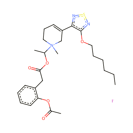 CCCCCCOc1nsnc1C1=CCC[N+](C)(C(C)OC(=O)Cc2ccccc2OC(C)=O)C1.[I-]